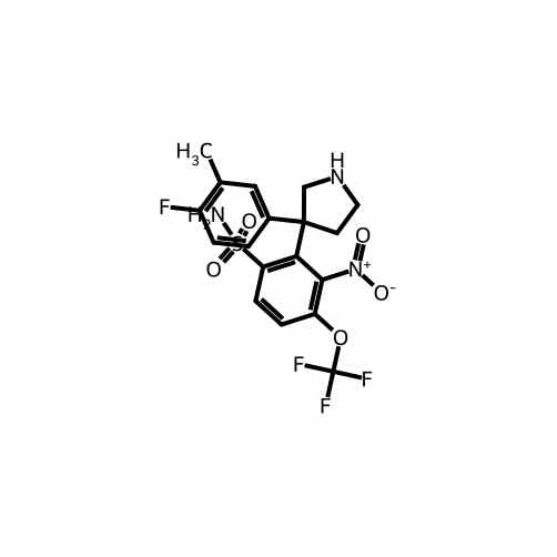 Cc1cc(C2(c3c(S(N)(=O)=O)ccc(OC(F)(F)F)c3[N+](=O)[O-])CCNC2)ccc1F